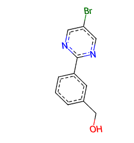 OCc1cccc(-c2ncc(Br)cn2)c1